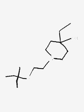 CCC1(O)CCN(CCOC(C)(C)C)CC1